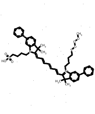 COOOSCCCC[N+]1=C(/C=C/C=C/C=C/C=C2/N(CCCCS(=O)(=O)O)c3cc(-c4ccccc4)ccc3C2(C)C)C(C)(C)c2ccc(-c3ccccc3)cc21